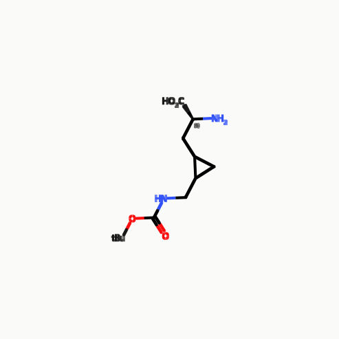 CC(C)(C)OC(=O)NCC1CC1C[C@H](N)C(=O)O